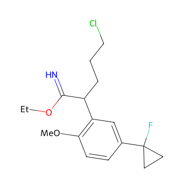 CCOC(=N)C(CCCCl)c1cc(C2(F)CC2)ccc1OC